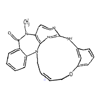 CN1C(=O)c2ccccc2N2C/C=C\COc3cccc(c3)Nc3ncc1c2n3